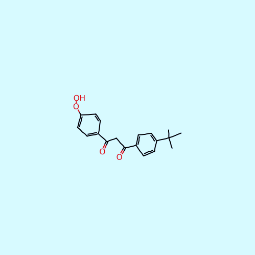 CC(C)(C)c1ccc(C(=O)CC(=O)c2ccc(OO)cc2)cc1